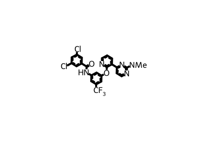 CNc1nccc(-c2cccnc2Oc2cc(NC(=O)c3cc(Cl)cc(Cl)c3)cc(C(F)(F)F)c2)n1